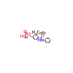 CCCC.O=C(Nc1ccccc1)c1ccc(CO[PH](=O)O)cc1